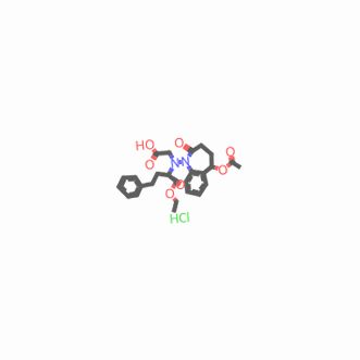 CCOC(=O)C(CCc1ccccc1)N(CC(=O)O)N1C(=O)CCC(OC(C)=O)c2ccccc21.Cl